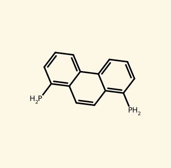 Pc1cccc2c1ccc1c(P)cccc12